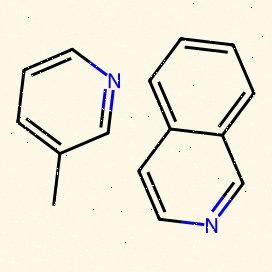 Cc1cccnc1.c1ccc2cnccc2c1